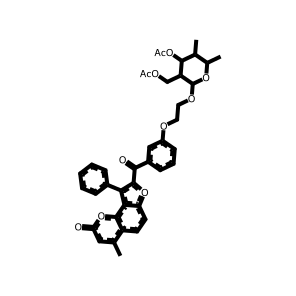 CC(=O)OCC1C(OCCOc2cccc(C(=O)c3oc4ccc5c(C)cc(=O)oc5c4c3-c3ccccc3)c2)OC(C)C(C)C1OC(C)=O